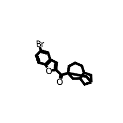 O=C(c1cc2cc(Br)ccc2o1)C12CCCC3CC(CC3C1)C2